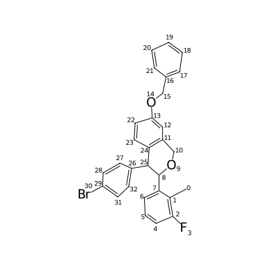 Cc1c(F)cccc1C1OCc2cc(OCc3ccccc3)ccc2C1c1ccc(Br)cc1